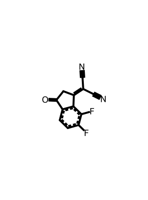 N#CC(C#N)=C1CC(=O)c2ccc(F)c(F)c21